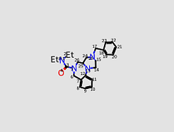 CCN(CC)C(=O)N1Cc2ccccc2N2CCN(Cc3ccccc3)CC2C1